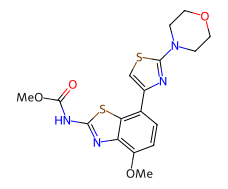 COC(=O)Nc1nc2c(OC)ccc(-c3csc(N4CCOCC4)n3)c2s1